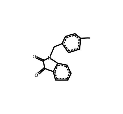 Cc1ccc(CN2C(=O)C(=O)c3ccccc32)cc1